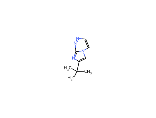 CC(C)(C)c1cn2ccnnc2n1